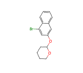 Brc1cc(OC2CCCCO2)cc2ccccc12